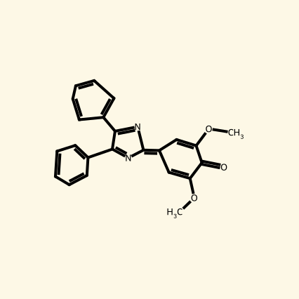 COC1=CC(=C2N=C(c3ccccc3)C(c3ccccc3)=N2)C=C(OC)C1=O